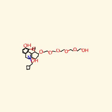 OCCOCCOCCOCCOCCOC1CC[C@@]2(O)C3Cc4ccc(O)c5c4[C@@]2(CCN3CC2CCC2)[C@H]1O5